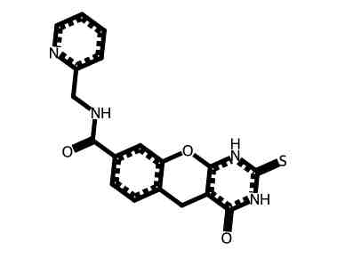 O=C(NCc1ccccn1)c1ccc2c(c1)Oc1[nH]c(=S)[nH]c(=O)c1C2